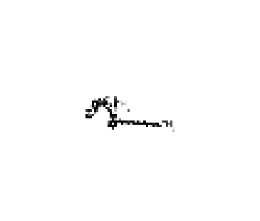 CCCCCCCCCCCCCCCc1ccccc1OCC(COP(=O)(O)Oc1cccc(C[n+]2ccsc2)c1)OCC